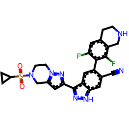 N#Cc1cc2[nH]nc(-c3cc4n(n3)CCN(S(=O)(=O)C3CC3)C4)c2cc1-c1c(F)cc2c(c1F)CNCC2